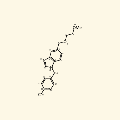 COCCOCc1ccc2c(c1)ncn2Cc1ccc(Cl)cc1